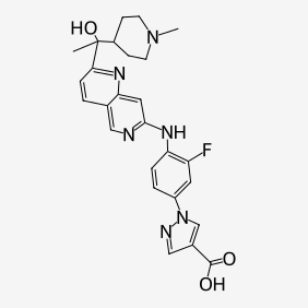 CN1CCC(C(C)(O)c2ccc3cnc(Nc4ccc(-n5cc(C(=O)O)cn5)cc4F)cc3n2)CC1